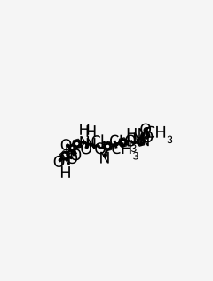 CC(C)(c1ccc(OCc2ccnc(NS(C)(=O)=O)n2)cc1)c1cc(Cl)c(OCCNC(=O)Nc2ccc3c(c2)C(=O)N(C2CCC(=O)NC2=O)C3=O)c(C#N)c1